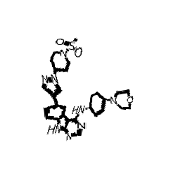 CS(=O)(=O)N1CCC(n2cc(-c3ccc4[nH]c5ncnc(N[C@H]6CC[C@H](N7CCOCC7)CC6)c5c4c3)cn2)CC1